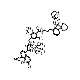 COc1cc(C(=O)NCCCc2cccc(C3(C(=O)O[C@H]4CN5CCC4CC5)CCCCC3)c2)c(Cl)cc1CNCC(O[Si](C)(C)C(C)(C)C)c1ccc(O)c2[nH]c(=O)ccc12